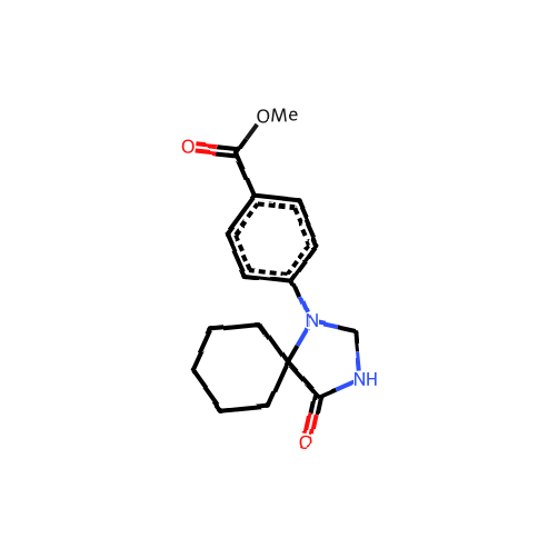 COC(=O)c1ccc(N2CNC(=O)C23CCCCC3)cc1